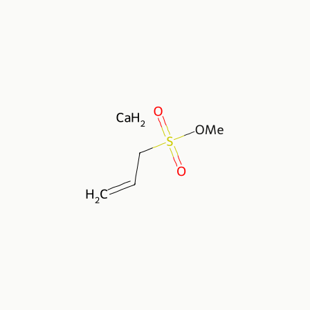 C=CCS(=O)(=O)OC.[CaH2]